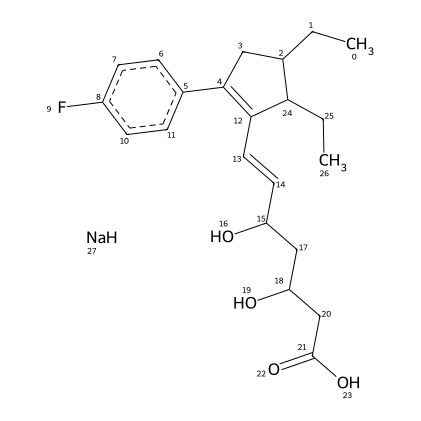 CCC1CC(c2ccc(F)cc2)=C(C=CC(O)CC(O)CC(=O)O)C1CC.[NaH]